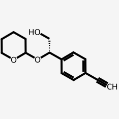 C#Cc1ccc([C@@H](CO)OC2CCCCO2)cc1